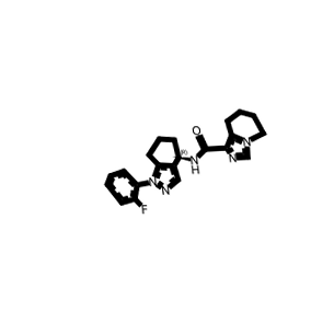 O=C(N[C@@H]1CCCc2c1cnn2-c1ccccc1F)c1ncn2c1CCCC2